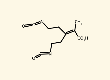 CC(C(=O)O)=C(CCN=C=O)CCN=C=O